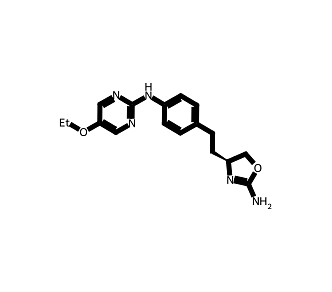 CCOc1cnc(Nc2ccc(CC[C@H]3COC(N)=N3)cc2)nc1